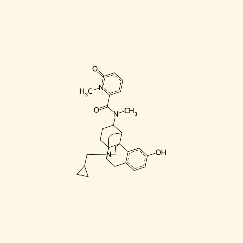 CN(C(=O)c1cccc(=O)n1C)C1CCC23CCC1C21CCN(CC2CC2)C3Cc2ccc(O)cc21